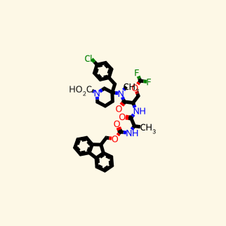 CC(NC(=O)OCC1c2ccccc2-c2ccccc21)C(=O)NC(COC(F)F)C(=O)N(C)C1(Cc2ccc(Cl)cc2)CCCN(C(=O)O)C1